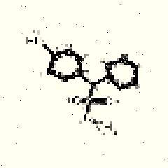 COS(=O)(=O)C(c1ccccc1)c1ccc(O)cc1